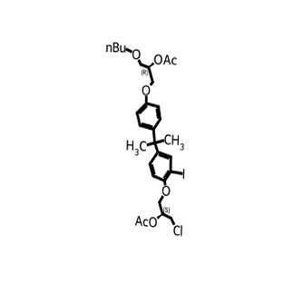 CCCCOC[C@H](COc1ccc(C(C)(C)c2ccc(OC[C@@H](CCl)OC(C)=O)c(I)c2)cc1)OC(C)=O